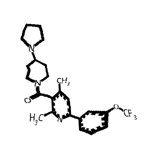 Cc1cc(-c2cccc(OC(F)(F)F)c2)nc(C)c1C(=O)N1CCC(N2CCCC2)CC1